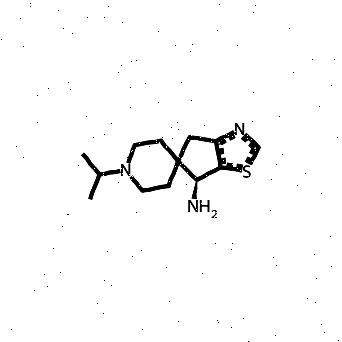 CC(C)N1CCC2(CC1)Cc1ncsc1[C@H]2N